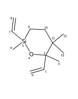 C=CC1(C)O[Si](C)(C=C)CCC1(C)C